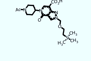 CC(=O)N1CCC(n2cc(C(=O)O)c3nn(COCC[Si](C)(C)C)cc3c2=O)CC1